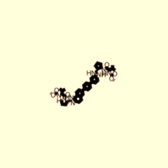 COC(=O)N[C@H](C(=O)N[C@H]1CCC[C@@H]1c1nc2ccc(-c3ccc(-c4ccc5c(c4)CCc4nc([C@@H]6CCCN6C(=O)[C@@H](NC(=O)OC)C(C)C)[nH]c4-5)cc3)cc2[nH]1)C(C)C